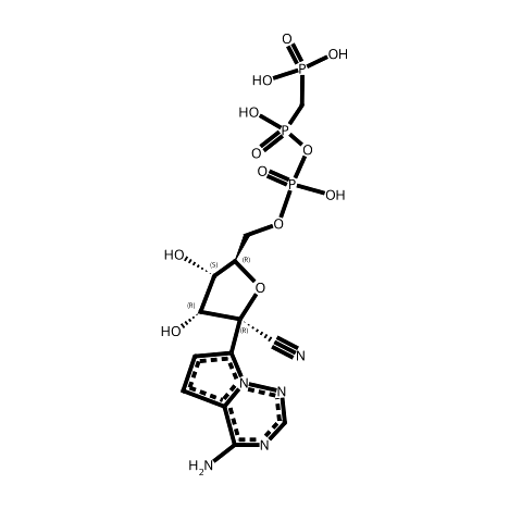 N#C[C@@]1(c2ccc3c(N)ncnn23)O[C@H](COP(=O)(O)OP(=O)(O)CP(=O)(O)O)[C@@H](O)[C@H]1O